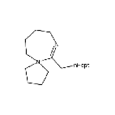 CCCCCCCCC1=NCCCC[N+]12CCCC2